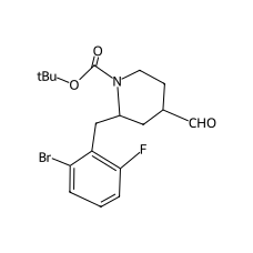 CC(C)(C)OC(=O)N1CCC(C=O)CC1Cc1c(F)cccc1Br